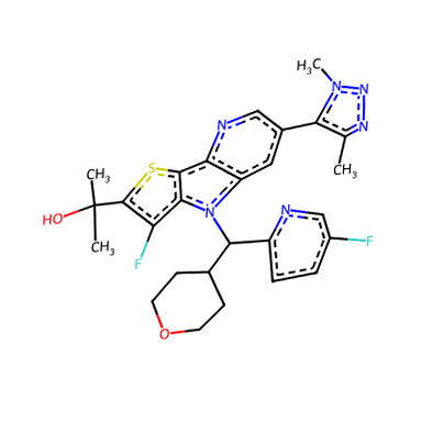 Cc1nnn(C)c1-c1cnc2c3sc(C(C)(C)O)c(F)c3n(C(c3ccc(F)cn3)C3CCOCC3)c2c1